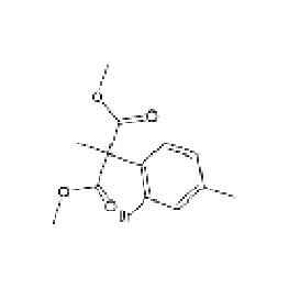 COC(=O)C(C)(C(=O)OC)c1ccc(C)cc1Br